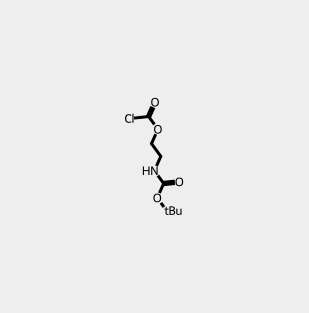 CC(C)(C)OC(=O)NCCOC(=O)Cl